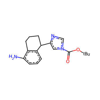 CC(C)(C)OC(=O)n1cnc(C2CCCc3c(N)cccc32)c1